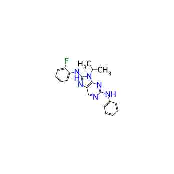 CC(C)n1c(Nc2ccccc2F)nc2cnc(Nc3ccccc3)nc21